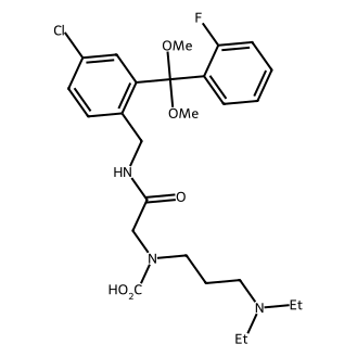 CCN(CC)CCCN(CC(=O)NCc1ccc(Cl)cc1C(OC)(OC)c1ccccc1F)C(=O)O